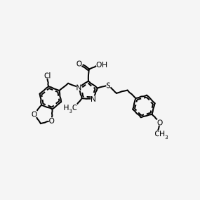 COc1ccc(CCSc2nc(C)n(Cc3cc4c(cc3Cl)OCO4)c2C(=O)O)cc1